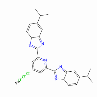 CC(C)C1=CC2=NC(c3cccc(C4=NC5C=CC(C(C)C)=CC5=N4)n3)=NC2C=C1.[Cl-].[Cl-].[Cl-].[V+3]